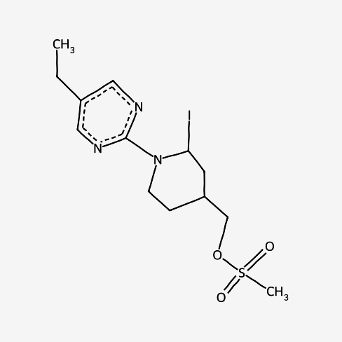 CCc1cnc(N2CCC(COS(C)(=O)=O)CC2I)nc1